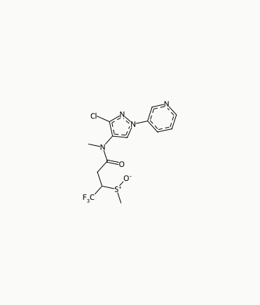 CN(C(=O)CC([S+](C)[O-])C(F)(F)F)c1cn(-c2cccnc2)nc1Cl